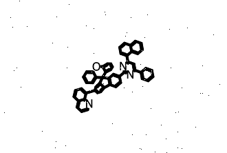 c1ccc(-c2cc(-c3cccc4ccccc34)nc(-c3ccc4c(c3)C3(c5ccccc5Oc5ccccc53)c3cc(-c5cccc6cccnc56)ccc3-4)n2)cc1